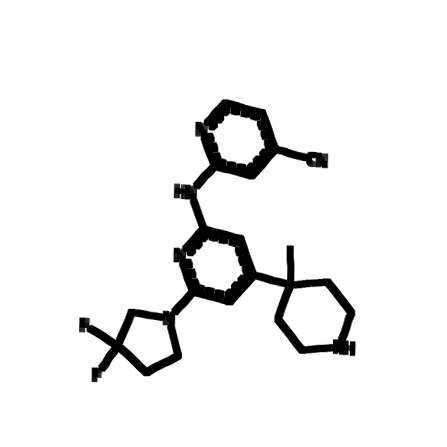 CC1(c2cc(Nc3cc(C#N)ccn3)nc(N3CCC(F)(F)C3)c2)CCNCC1